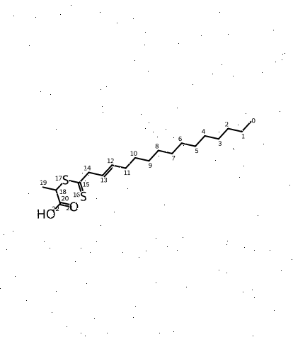 CCCCCCCCCCCCC=CCC(=S)SC(C)C(=O)O